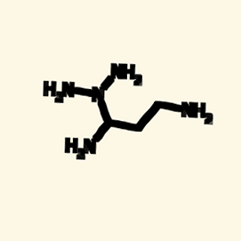 NCCC(N)N(N)N